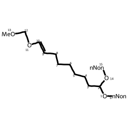 CCCCCCCCCOC(CCCCCCC=COCOC)OCCCCCCCCC